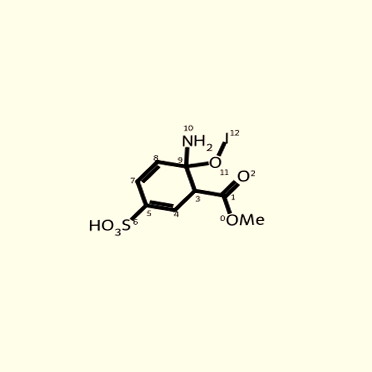 COC(=O)C1C=C(S(=O)(=O)O)C=CC1(N)OI